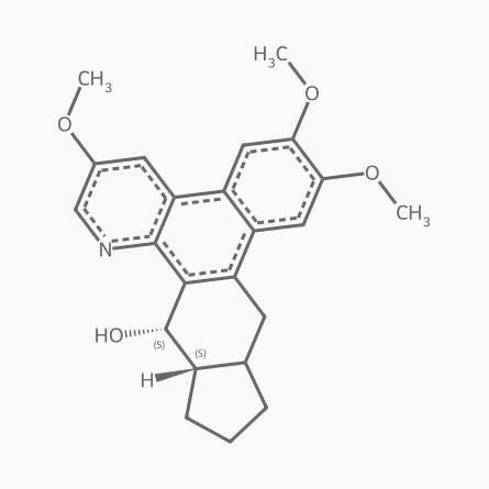 COc1cnc2c3c(c4cc(OC)c(OC)cc4c2c1)CC1CCC[C@@H]1[C@@H]3O